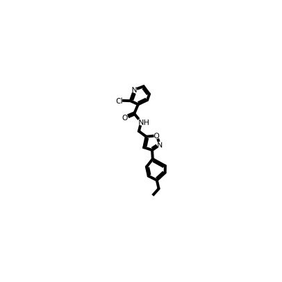 CCc1ccc(-c2cc(CNC(=O)c3cccnc3Cl)on2)cc1